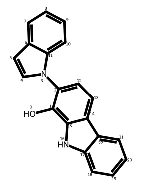 Oc1c(-n2ccc3ccccc32)ccc2c1[nH]c1ccccc12